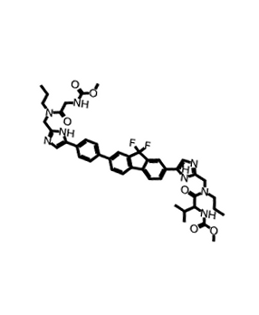 CCCN(Cc1ncc(-c2ccc(-c3ccc4c(c3)C(F)(F)c3cc(-c5cnc(CN(CCC)C(=O)C(NC(=O)OC)C(C)C)[nH]5)ccc3-4)cc2)[nH]1)C(=O)CNC(=O)OC